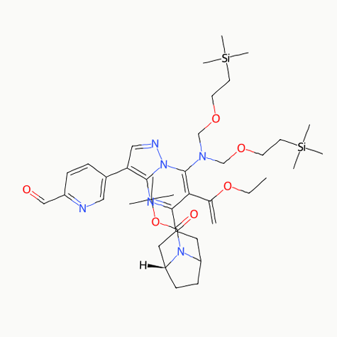 C=C(OCC)c1c(C2CC3CC[C@H](C2)N3C(=O)OC(C)(C)C)nc2c(-c3ccc(C=O)nc3)cnn2c1N(COCC[Si](C)(C)C)COCC[Si](C)(C)C